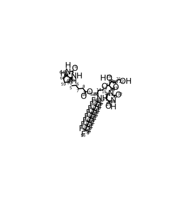 O=C1N[C@@H]2[C@H](CCCCC(=O)OC[C@H](CCOC3[C@@H](O)[C@@H](CO)O[C@H]3n3ccc(=O)[nH]c3=O)NC(F)(F)C(F)(F)C(F)(F)C(F)(F)C(F)(F)C(F)(F)C(F)(F)C(F)(F)F)CC[C@@H]2N1